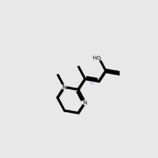 C=C(O)/C=C(\C)C1=NCCCN1C